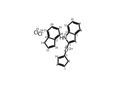 C1=CC[C]([Zr+2][c]2cc3ccccc3[nH]2)=C1.C1=Cc2ccccc2C1.[Cl-].[Cl-]